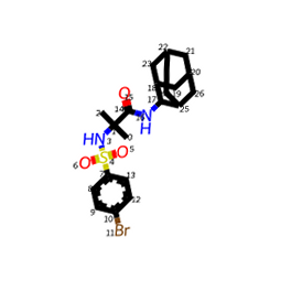 CC(C)(NS(=O)(=O)c1ccc(Br)cc1)C(=O)NC1C2CC3CC(C2)CC1C3